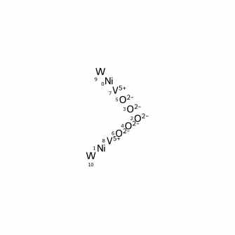 [Ni].[Ni].[O-2].[O-2].[O-2].[O-2].[O-2].[V+5].[V+5].[W].[W]